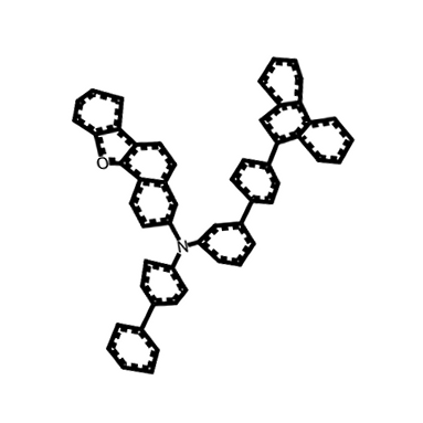 c1ccc(-c2ccc(N(c3cccc(-c4ccc(-c5cc6ccccc6c6ccccc56)cc4)c3)c3ccc4c(ccc5c6ccccc6oc45)c3)cc2)cc1